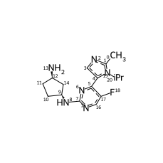 Cc1ncc(-c2nc(N[C@H]3CC[C@@H](N)C3)ncc2F)n1C(C)C